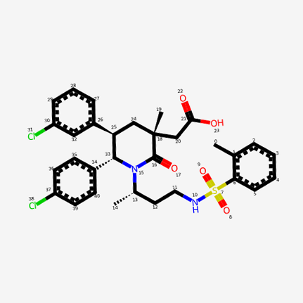 Cc1ccccc1S(=O)(=O)NCC[C@H](C)N1C(=O)[C@@](C)(CC(=O)O)C[C@H](c2cccc(Cl)c2)[C@H]1c1ccc(Cl)cc1